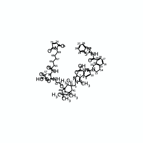 CCC1(Cn2ncc(-c3ccc(N4CCc5cccc(C(=O)Nc6nc7ccccc7s6)c5C4)nc3C(=O)O)c2C)CC2(C)CC(C)(C)CC(OCCNC(=O)[C@H](CS(=O)(=O)O)NC(=O)CCCCCN3C(=O)C=CC3=O)(C2)C1